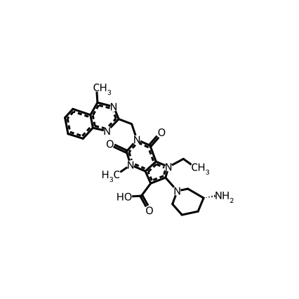 CCn1c(N2CCC[C@@H](N)C2)c(C(=O)O)c2c1c(=O)n(Cc1nc(C)c3ccccc3n1)c(=O)n2C